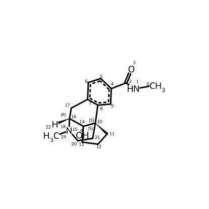 CNC(=O)c1ccc2c(c1)[C@@]13CCC[C@@]1(O)[C@@H](C2)N(C)CC3